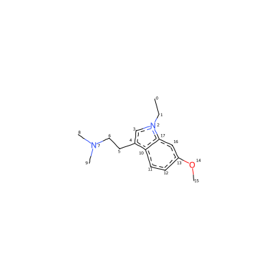 CCn1cc(CCN(C)C)c2ccc(OC)cc21